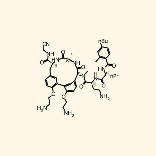 CCCCc1ccc(C(=O)N[C@H](CCC)C(=O)N[C@@H](CCN)C(=O)N(C)[C@@H]2C(=O)N[C@@H](C)C(=O)N[C@H](C(=O)NCC#N)Cc3ccc(OCCN)c(c3)-c3cc2ccc3OCCN)c(C)c1